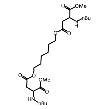 CCCCNC(CC(=O)OCCCCCCOC(=O)CC(NCCCC)C(=O)OC)C(=O)OC